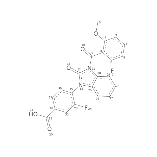 COc1cccc(F)c1C(=O)n1c(=O)n(-c2ccc(C(=O)O)cc2F)c2ccccc21